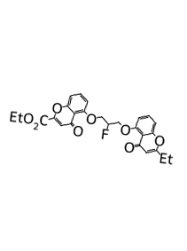 CCOC(=O)c1cc(=O)c2c(OCC(F)COc3cccc4oc(CC)cc(=O)c34)cccc2o1